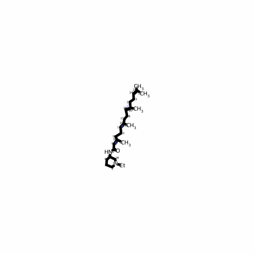 CCN1CCCC(NC(=O)/C=C(\C)CC/C=C(\C)CC/C=C(\C)CCC=C(C)C)C1